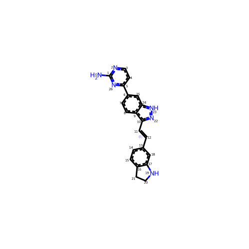 Nc1nccc(-c2ccc3c(/C=C/c4ccc5c(c4)NCC5)n[nH]c3c2)n1